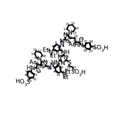 CCN(CC)c1ccc(/N=N/c2nc(N3CCCCC3)c(/C=C(\C(C)=O)C(=O)Nc3ccc(S(=O)(=O)O)cc3)s2)c(Nc2nc(Nc3cc(N(CC)CC)ccc3/N=N/c3nc(N4CCCCC4)c(C(C(C)=O)C(=O)Nc4ccc(S(=O)(=O)O)cc4)s3)nc(SCCS(=O)(=O)O)n2)c1